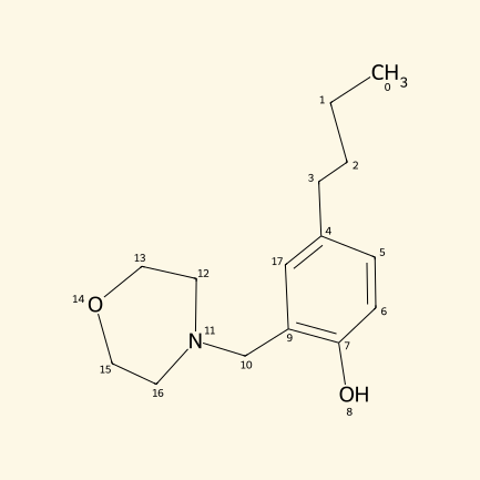 CCCCc1ccc(O)c(CN2CCOCC2)c1